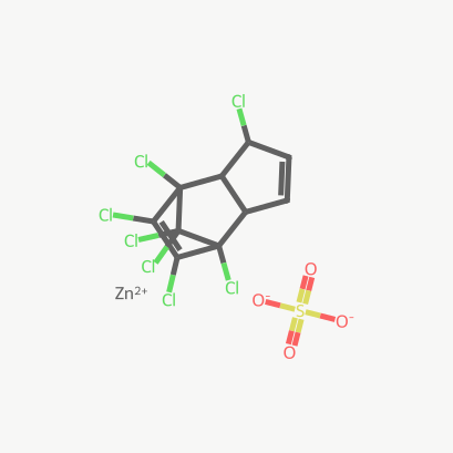 ClC1=C(Cl)C2(Cl)C3C(Cl)C=CC3C1(Cl)C2(Cl)Cl.O=S(=O)([O-])[O-].[Zn+2]